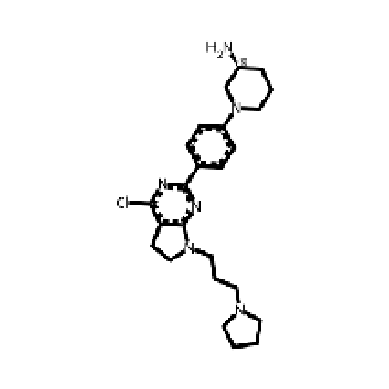 N[C@H]1CCCN(c2ccc(-c3nc(Cl)c4c(n3)N(CCCN3CCCC3)CC4)cc2)C1